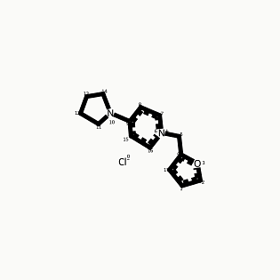 [Cl-].c1coc(C[n+]2ccc(N3CCCC3)cc2)c1